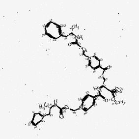 COC(=O)[C@H](COC(=O)c1cc[n+](COC(=O)N[C@@H](C)Cc2ccccc2)cc1)NC(=O)c1cc[n+](COC(=O)N[C@@H](C)Cc2ccccc2)cc1